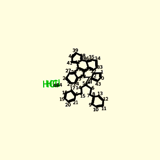 C1=CC[C]([Zr](=[C](CCc2ccccc2)CCc2ccccc2)[CH]2c3ccccc3-c3c2c2ccccc2c2ccccc32)=C1.Cl.Cl